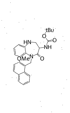 COc1ccc2ccccc2c1CN1C(=O)C(NC(=O)OC(C)(C)C)CNc2ccccc21